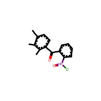 Cc1ccc(C(=O)c2ccccc2[PH](=O)Cl)c(C)c1C